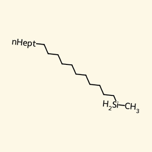 CCCCCCCCCCCCCCCCCC[SiH2]C